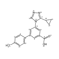 Cc1ccc(-c2cc(C(=O)O)cc(-n3nnnc3C3CC3)c2)cc1